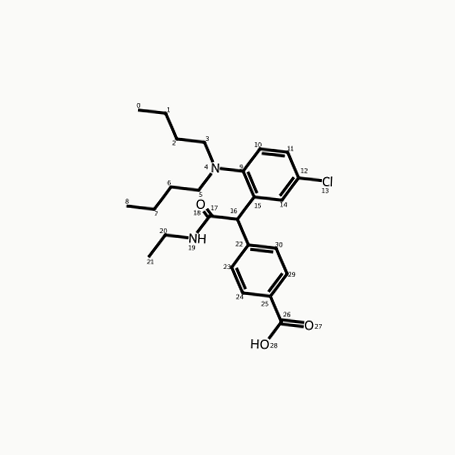 CCCCN(CCCC)c1ccc(Cl)cc1C(C(=O)NCC)c1ccc(C(=O)O)cc1